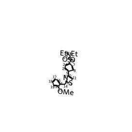 CCN(CC)S(=O)(=O)c1ccc(-c2csc(Cc3ccccc3OC)n2)cc1